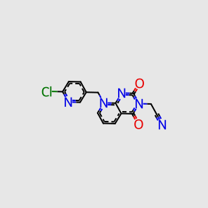 N#CCn1c(=O)nc2n(Cc3ccc(Cl)nc3)cccc-2c1=O